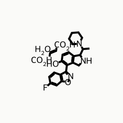 CC(C1NCc2c1ccc(O)c2-c1noc2cc(F)ccc12)N1CCCCC1.O.O=C(O)C=CC(=O)O